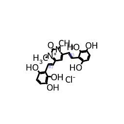 Cn1c(/C=C/c2c(O)ccc(O)c2O)cc(/C=C/c2c(O)ccc(O)c2O)[n+](C)c1=O.[Cl-]